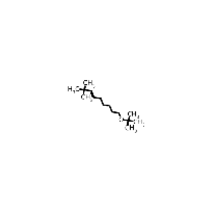 CC(C)(C)/C=C/CCCCCOC(C)(C)C